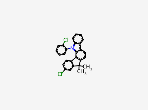 CC1(C)c2cc(Cl)ccc2-c2c1ccc1c3ccccc3n(-c3ccccc3Cl)c21